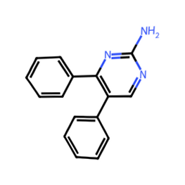 Nc1ncc(-c2ccccc2)c(-c2ccccc2)n1